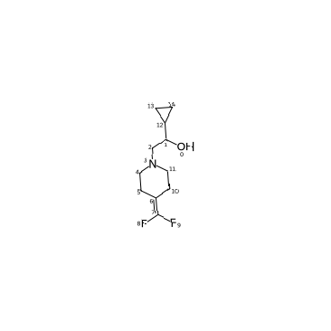 OC(CN1CCC(=C(F)F)CC1)C1CC1